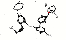 C/N=C\c1cc(CN2CCOCC2)ccc1COc1ccc(C)cc1-c1csc(N2C[C@H]3CC[C@@H](C2)[C@H]3C(=O)O)n1